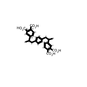 CC(Cc1ccc(CC(C)c2ccc(C(=O)O)c(C(=O)O)c2)cc1)c1ccc(C(=O)O)c(C(=O)O)c1